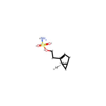 NS(=O)(=O)OCCC1=CCC2C[C@@H]12